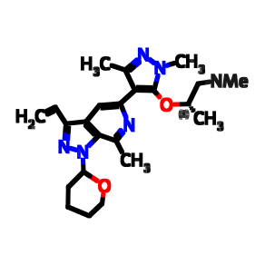 C=Cc1nn(C2CCCCO2)c2c(C)nc(-c3c(C)nn(C)c3O[C@@H](C)CNC)cc12